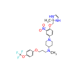 CN(CCCOc1ccc(OC(F)(F)F)cc1)C1CCN(c2ccc(OCC3(C)NC=CN3)c([N+](=O)[O-])c2)CC1